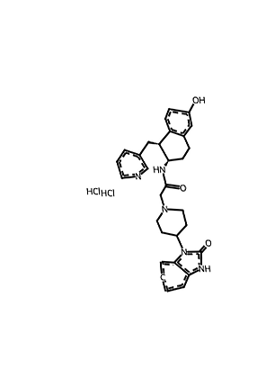 Cl.Cl.O=C(CN1CCC(n2c(=O)[nH]c3ccccc32)CC1)N[C@@H]1CCc2cc(O)ccc2[C@@H]1Cc1cccnc1